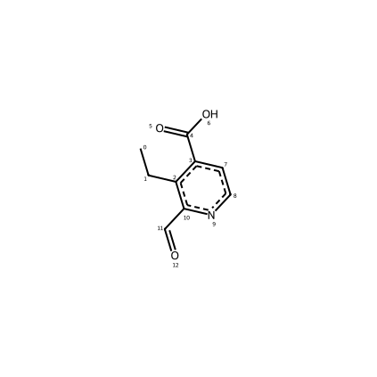 CCc1c(C(=O)O)ccnc1C=O